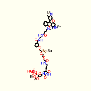 CC/N=c1/cc2oc3cc(NCC)c(C)cc3c(-c3ccccc3C(=O)N(C)CCCC(=O)NCCNC(=O)c3cccc(OCC(OCCOCC(=O)NCC#Cc4cn([C@H]5CC(O[C@@H](C)OCC)[C@@H](COP(=O)(O)O)O5)c(=O)[nH]c4=O)SSC(C)(C)C)c3)c-2cc1C